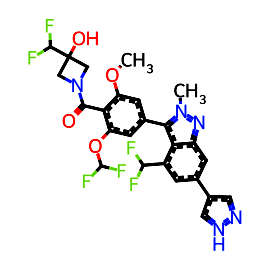 COc1cc(-c2c3c(C(F)F)cc(-c4cn[nH]c4)cc3nn2C)cc(OC(F)F)c1C(=O)N1CC(O)(C(F)F)C1